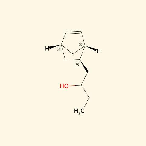 CCC(O)C[C@H]1C[C@@H]2C=C[C@H]1C2